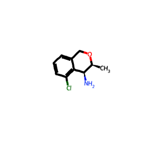 C[C@@H]1OCc2cccc(Cl)c2[C@@H]1N